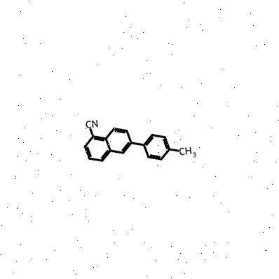 Cc1ccc(-c2ccc3c(C#N)cccc3c2)cc1